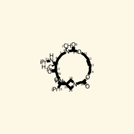 CC(C)N[C@]1(C)CCN(C)C(=O)OCC=CCOC(=O)N2CC(C(=O)C(C)C)(C2)NCC1=O